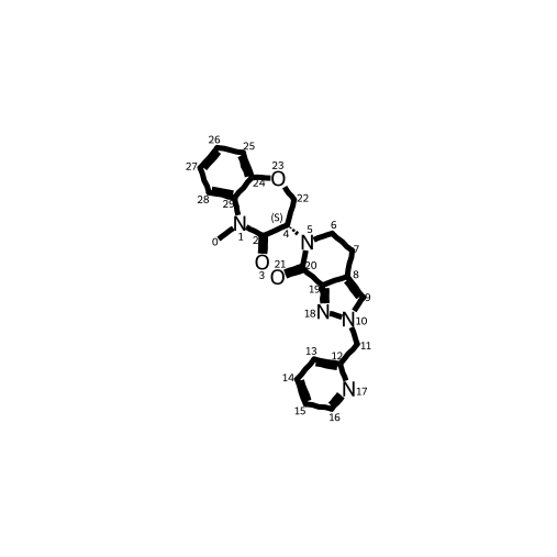 CN1C(=O)[C@@H](N2CCc3cn(Cc4ccccn4)nc3C2=O)COc2ccccc21